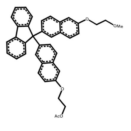 COCCOc1ccc2cc(C3(c4ccc5cc(OCCOC(C)=O)ccc5c4)c4ccccc4-c4ccccc43)ccc2c1